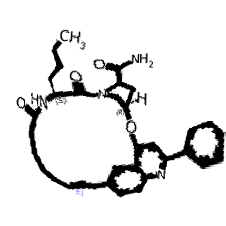 CCCC[C@@H]1NC(=O)CCCC/C=C/c2ccc3nc(-c4ccccc4)cc(c3c2)O[C@@H]2CC(C(N)=O)N(C2)C1=O